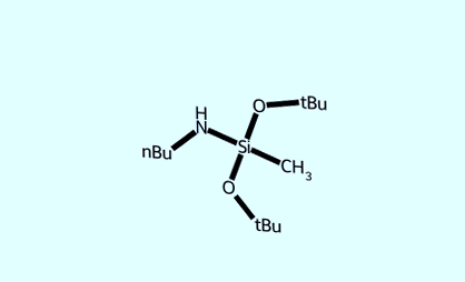 CCCCN[Si](C)(OC(C)(C)C)OC(C)(C)C